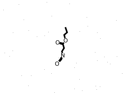 CCCOC(=O)CCN=C=O